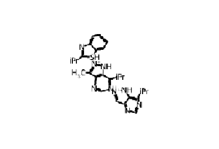 Cc1c2nc[n+](-[n+]3cc4ncnc(C(C)C)c4[nH]3)c(C(C)C)c2[nH][n+]1[SH]1C(C(C)C)=Nc2ccccc21